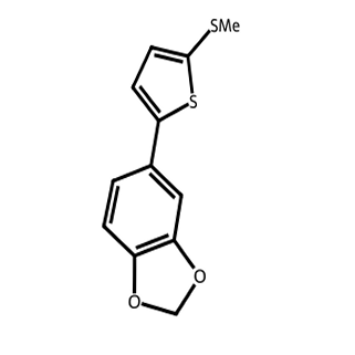 CSc1ccc(-c2ccc3c(c2)OCO3)s1